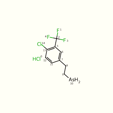 Cl.FC(F)(F)c1cc(CC[AsH2])ccc1Cl